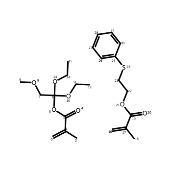 C=C(C)C(=O)OC(COC)(OCC)OCC.C=C(C)C(=O)OCCSc1ccccc1